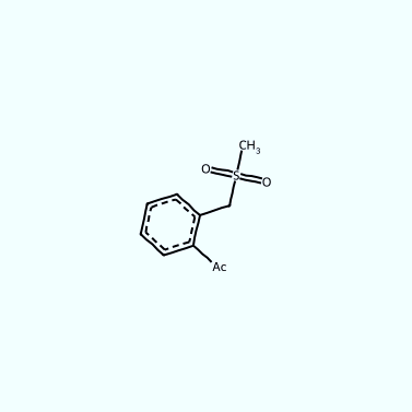 CC(=O)c1ccccc1CS(C)(=O)=O